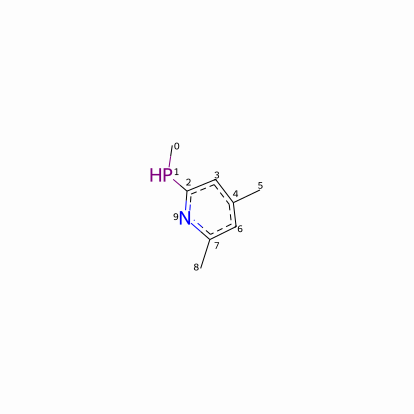 CPc1cc(C)cc(C)n1